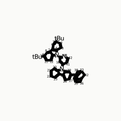 CC(C)(C)c1ccc2c(c1)c1cc(C(C)(C)C)ccc1n2-c1cc(-n2c3ccccc3c3ccc(C45CC6CC(CC(C6)C4)C5)cc32)ccn1